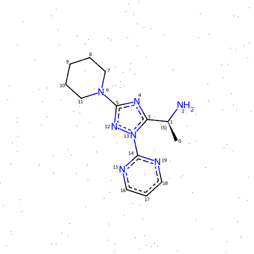 C[C@H](N)c1nc(N2CCCCC2)nn1-c1ncccn1